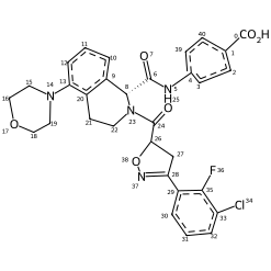 O=C(O)c1ccc(NC(=O)[C@H]2c3cccc(N4CCOCC4)c3CCN2C(=O)C2CC(c3cccc(Cl)c3F)=NO2)cc1